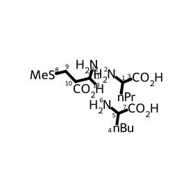 CCCC(N)C(=O)O.CCCCC(N)C(=O)O.CSCCC(N)C(=O)O